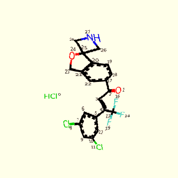 Cl.O=C(C=C(c1cc(Cl)cc(Cl)c1)C(F)(F)F)c1ccc2c(c1)COC21CNC1